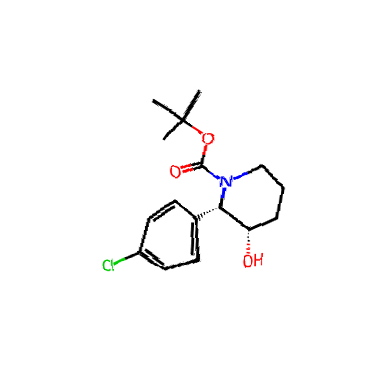 CC(C)(C)OC(=O)N1CCC[C@H](O)[C@@H]1c1ccc(Cl)cc1